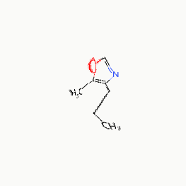 CCCc1ncoc1C